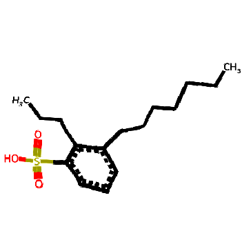 CCCCCCCc1cccc(S(=O)(=O)O)c1CCC